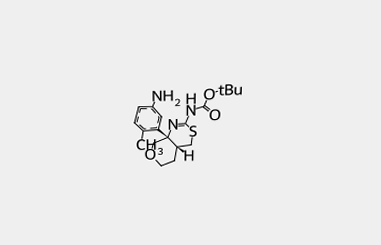 Cc1ccc(N)cc1[C@]12COCC[C@H]1CSC(NC(=O)OC(C)(C)C)=N2